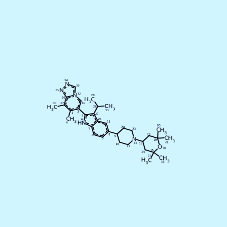 Cc1c(-c2[nH]c3ccc(C4CCN(C5CC(C)(C)OC(C)(C)C5)CC4)cc3c2C(C)C)cn2cnnc2c1C